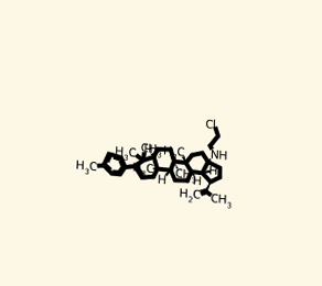 C=C(C)[C@@H]1CC[C@]2(NCCCl)CC[C@]3(C)[C@H](CC[C@@H]4[C@@]5(C)CC=C(c6ccc(C)cc6)C(C)(C)[C@@H]5CC[C@]43C)[C@@H]12